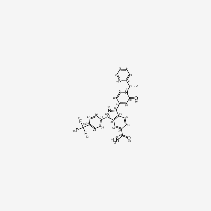 C[C@@H](c1ccccn1)n1ccc(-c2nn(-c3ccc(C(F)(F)F)cc3)c3cc(C(N)=O)ccc23)cc1=O